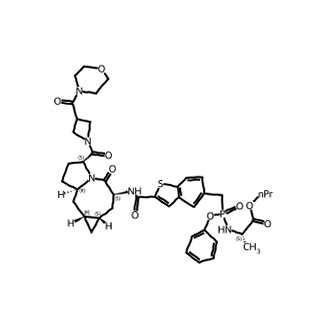 CCCOC(=O)[C@H](C)NP(=O)(Cc1ccc2sc(C(=O)N[C@H]3C[C@@H]4C[C@@H]4C[C@H]4CC[C@@H](C(=O)N5CC(C(=O)N6CCOCC6)C5)N4C3=O)cc2c1)Oc1ccccc1